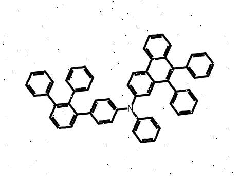 c1ccc(-c2cccc(-c3ccc(N(c4ccccc4)c4ccc5c(c4)c(-c4ccccc4)c(-c4ccccc4)c4ccccc45)cc3)c2-c2ccccc2)cc1